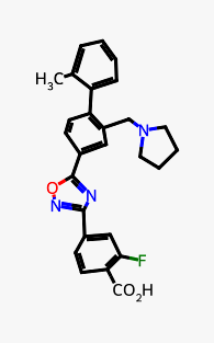 Cc1ccccc1-c1ccc(-c2nc(-c3ccc(C(=O)O)c(F)c3)no2)cc1CN1CCCC1